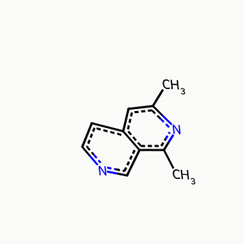 Cc1cc2ccncc2c(C)n1